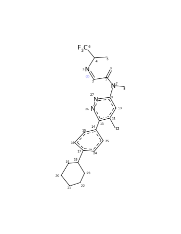 C=C(/C=N\C(C)C(F)(F)F)N(C)c1cc(C)c(-c2ccc(C3CCCCC3)cc2)nn1